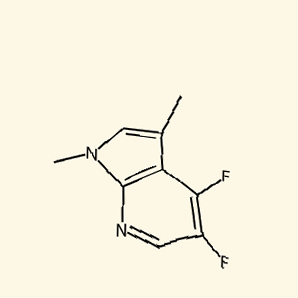 Cc1cn(C)c2ncc(F)c(F)c12